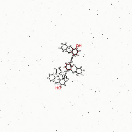 CCC1(C2c3ccccc3Cc3c(O)ccc(C#Cc4ccc(C#Cc5ccc(O)c6c5C5c7ccccc7C6c6ccccc65)c5c4C4c6ccccc6C5c5ccccc54)c32)C=CC=C1